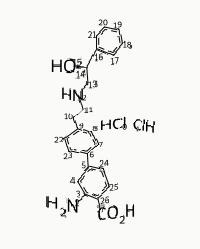 Cl.Cl.Nc1cc(-c2ccc(CCNC[C@@H](O)c3ccccc3)cc2)ccc1C(=O)O